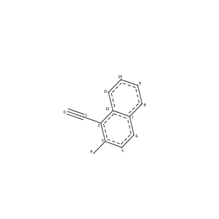 C#Cc1c(C)ccc2ccccc12